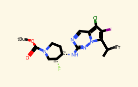 CC(C)C(C)c1c(I)c(Cl)c2cnc(N[C@H]3CCN(C(=O)OC(C)(C)C)C[C@H]3F)nn12